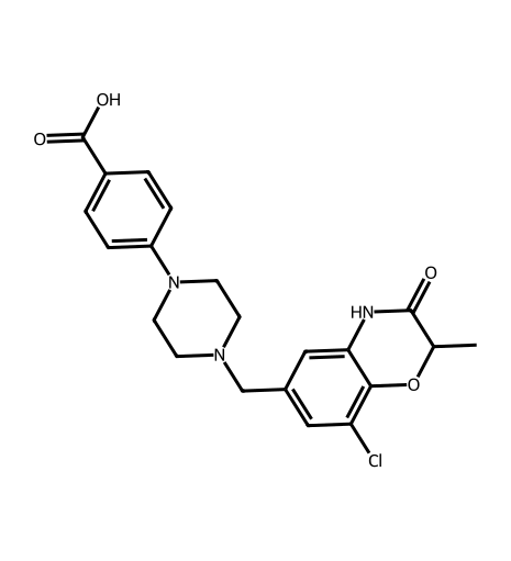 CC1Oc2c(Cl)cc(CN3CCN(c4ccc(C(=O)O)cc4)CC3)cc2NC1=O